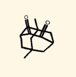 CC12CC3CC(C)(CC(C1)C(=O)C3=O)C2